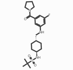 CC(C)(C)S(=O)(=O)N[C@H]1CC[C@H](CNc2cc(F)cc(C(=O)N3CCCC3)c2)CC1